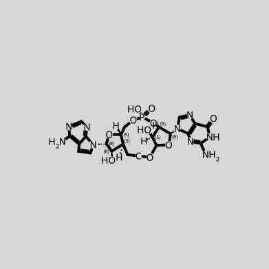 Nc1nc2c(ncn2[C@@H]2OC3OCC[C@H]4[C@@H](O)[C@H](n5ccc6c(N)ncnc65)O[C@@H]4COP(=O)(O)O[C@@H]2[C@@H]3O)c(=O)[nH]1